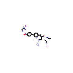 CCCN(CCCN=O)C(=O)C1=CC2=CC=C(c3ccc(C(=O)N4CC[C@@H](N=O)C4)cc3)CC2NC(N=NN)C1